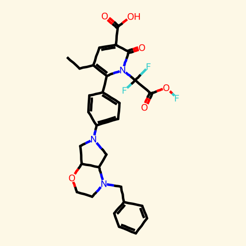 CCc1cc(C(=O)O)c(=O)n(C(F)(F)C(=O)OF)c1-c1ccc(N2CC3OCCN(Cc4ccccc4)C3C2)cc1